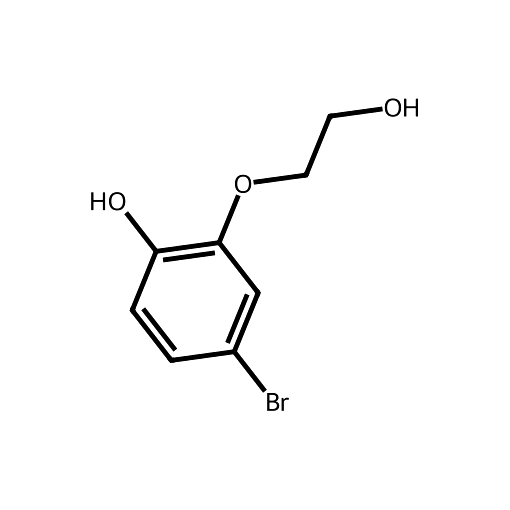 OCCOc1cc(Br)ccc1O